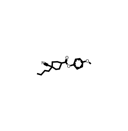 CCCCC1(C#N)CCC(C(=O)Oc2ccc(OC)cc2)CC1